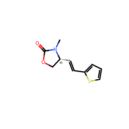 CN1C(=O)OC[C@H]1C=Cc1cccs1